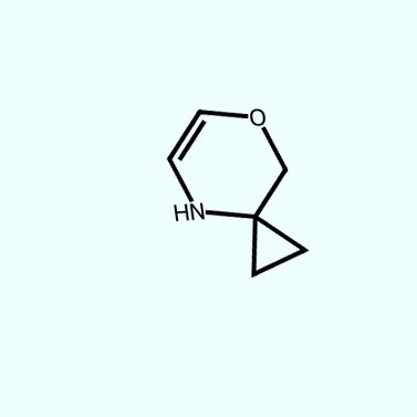 C1=COCC2(CC2)N1